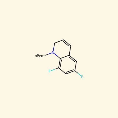 CCCCCN1CC=Cc2cc(F)cc(F)c21